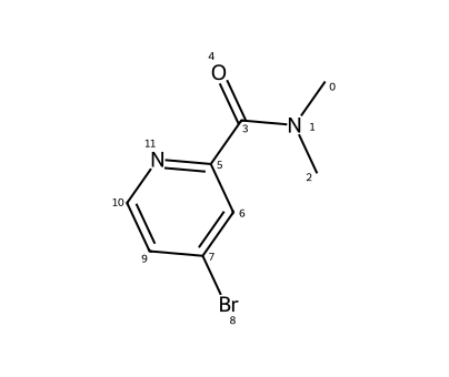 CN(C)C(=O)c1cc(Br)ccn1